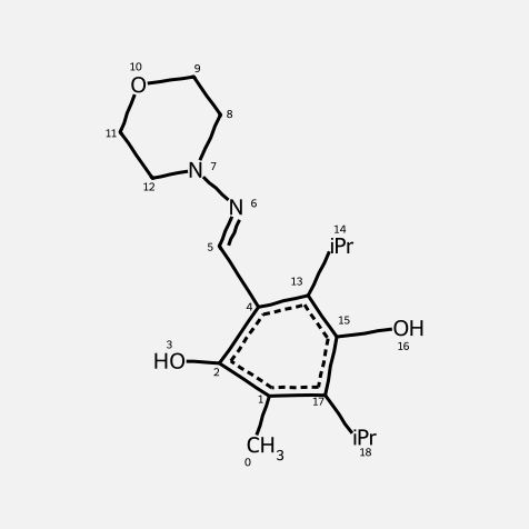 Cc1c(O)c(/C=N/N2CCOCC2)c(C(C)C)c(O)c1C(C)C